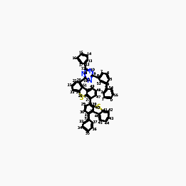 c1ccc(-c2cccc(-c3nc(-c4ccccc4)nc(-c4cccc5sc6c(-c7ccc(-c8ccccc8)c8c7sc7ccccc78)cccc6c45)n3)c2)cc1